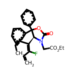 C=C/C(F)=C(\C=C/C)[C@@H]1N(CC(=O)OCC)C(=O)OC1(c1ccccc1)c1ccccc1